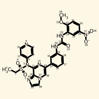 CCS(=O)(=O)N(c1ccncc1)c1nc(-c2cccc(NC(=O)Nc3cc([N+](=O)[O-])ccc3OC)c2)cn2ccnc12